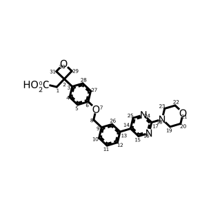 O=C(O)CC1(c2ccc(OCc3cccc(-c4cnc(N5CCOCC5)nc4)c3)cc2)COC1